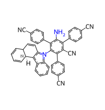 N#Cc1ccc(-c2c(N)c(-c3ccc(C#N)cc3)c(-n3c4c(c5ccccc53)[C@H]3C=CC=CC3C=C4)c(-c3ccc(C#N)cc3)c2C#N)cc1